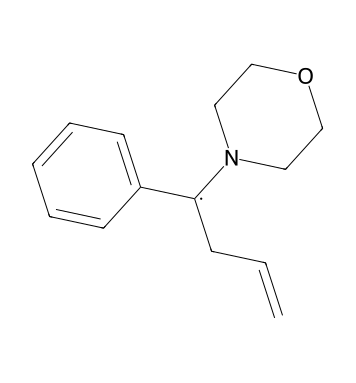 C=CC[C](c1ccccc1)N1CCOCC1